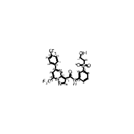 O=C(Nc1cccc(S(=O)(=O)CCO)c1)c1cnn2c(C(F)(F)F)cc(-c3ccc(C(F)(F)F)cc3)nc12